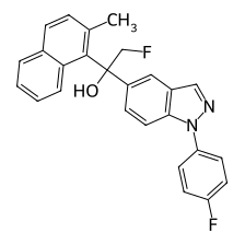 Cc1ccc2ccccc2c1C(O)(CF)c1ccc2c(cnn2-c2ccc(F)cc2)c1